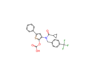 O=C(O)Oc1sc(-c2ccccc2)cc1N(Cc1ccc(C(F)(F)F)cc1)C(=O)C1CC1